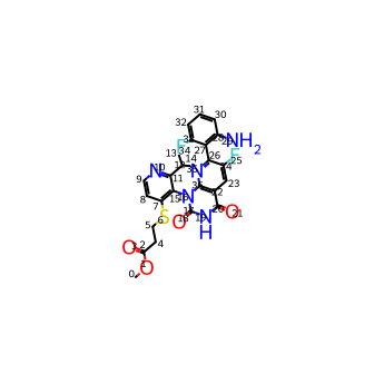 COC(=O)CCSc1ccnc(C(C)C)c1-n1c(=O)[nH]c(=O)c2cc(F)c(-c3c(N)cccc3F)nc21